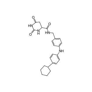 O=C1CC(C(=O)NCc2ccc(Nc3ccc(C4CCCCC4)cc3)cc2)NC(=O)N1